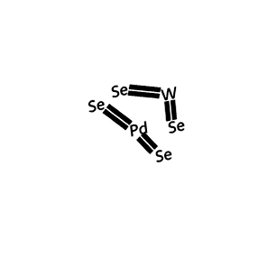 [Se]=[Pd]=[Se].[Se]=[W]=[Se]